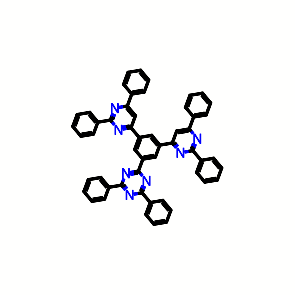 c1ccc(-c2cc(-c3cc(-c4cc(-c5ccccc5)nc(-c5ccccc5)n4)cc(-c4nc(-c5ccccc5)nc(-c5ccccc5)n4)c3)nc(-c3ccccc3)n2)cc1